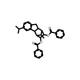 CC(C)c1ccc2c(c1)C1C(C2)C2C(C)C1C(OC(=O)c1ccccc1)C2OC(=O)c1ccccc1